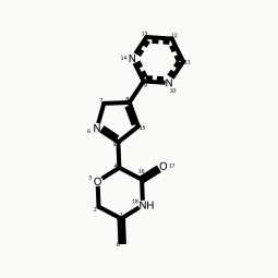 C=C1COC(C2=NCC(c3ncccn3)=C2)C(=O)N1